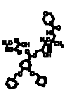 CC(C)(CNC(=O)N1CCOCC1)NCC(O)COC(=O)c1ccc(OCc2ccccc2)c(OCc2ccccc2)c1.O.O=C(O)C(=O)O